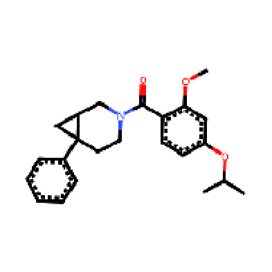 COc1cc(OC(C)C)ccc1C(=O)N1CCC2(c3ccccc3)CC2C1